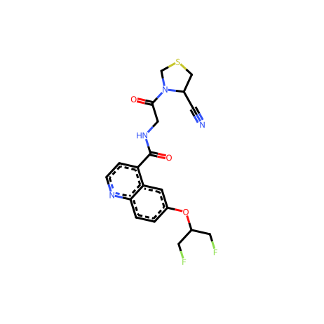 N#CC1CSCN1C(=O)CNC(=O)c1ccnc2ccc(OC(CF)CF)cc12